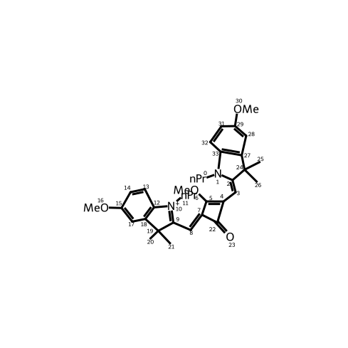 CCCN1/C(=C\C2=C(OC)C(=C\C3=[N+](CCC)c4ccc(OC)cc4C3(C)C)/C2=O)C(C)(C)c2cc(OC)ccc21